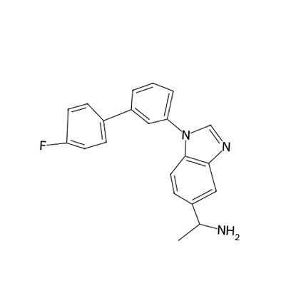 CC(N)c1ccc2c(c1)ncn2-c1cccc(-c2ccc(F)cc2)c1